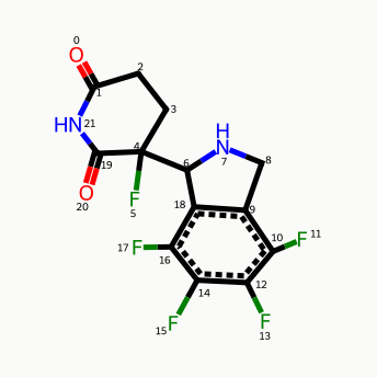 O=C1CCC(F)(C2NCc3c(F)c(F)c(F)c(F)c32)C(=O)N1